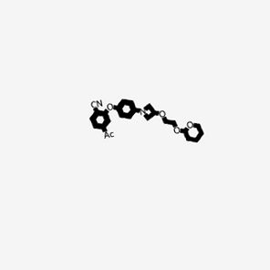 CC(=O)c1ccc(C#N)c(Oc2ccc(N3CC(OCCOC4CCCCO4)C3)cc2)c1